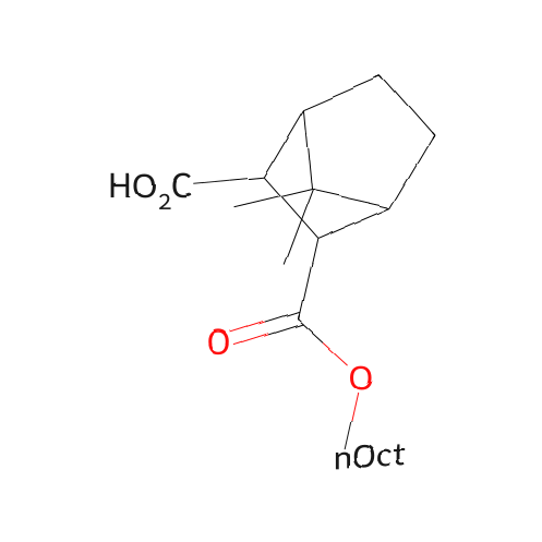 CCCCCCCCOC(=O)C1C(C(=O)O)C2CCC1C2(C)C